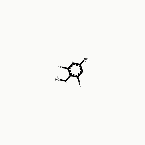 O=[N+]([O-])c1cc(F)c(CO)c(F)c1